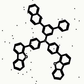 c1ccc(-c2cc(-c3ccc4ccccc4c3)cc(N(c3ccc(-c4cccc5c4oc4ccccc45)cc3)c3ccc(-c4cccc5c4oc4ccccc45)cc3)c2)cc1